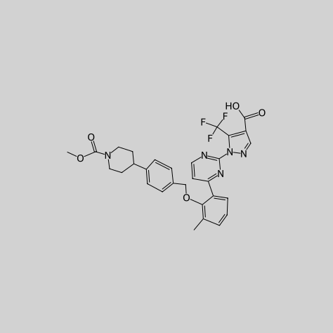 COC(=O)N1CCC(c2ccc(COc3c(C)cccc3-c3ccnc(-n4ncc(C(=O)O)c4C(F)(F)F)n3)cc2)CC1